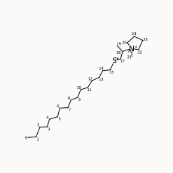 CCCCCCCCCCCCCCCCSCC(C)[N+]1(C)CCCC1